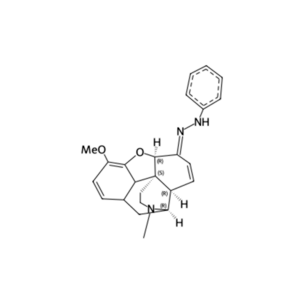 COC1=C2O[C@H]3C(=NNc4ccccc4)C=C[C@H]4[C@H]5CC(C=C1)C2[C@@]34CCN5C